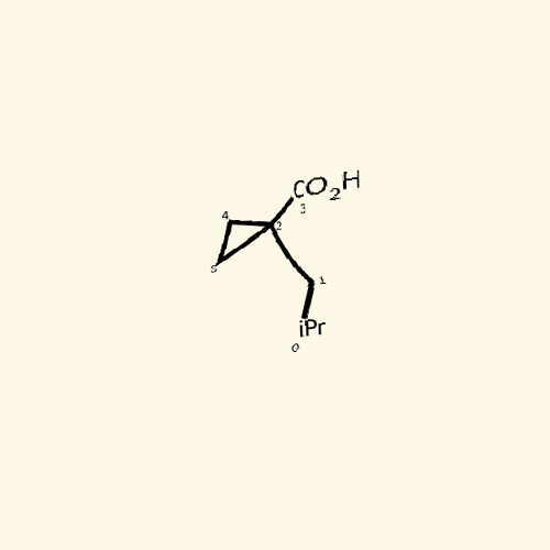 CC(C)CC1(C(=O)O)CC1